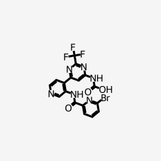 O=C(O)Nc1cc(-c2ccncc2NC(=O)c2cccc(Br)n2)nc(C(F)(F)F)n1